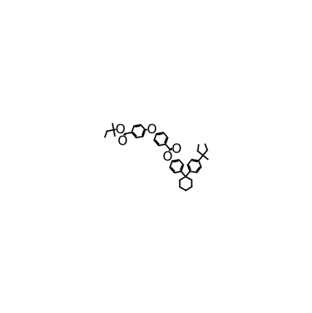 CCC(C)(C)OC(=O)c1ccc(Oc2ccc(C(=O)Oc3ccc(C4(c5ccc(C(C)(CC)CC)cc5)CCCCC4)cc3)cc2)cc1